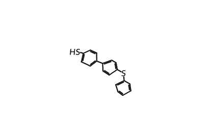 Sc1ccc(-c2ccc(Sc3ccccc3)cc2)cc1